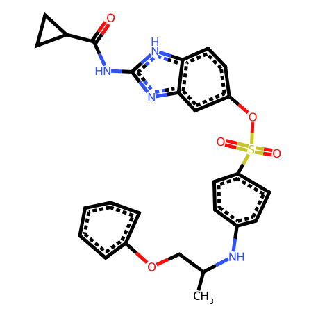 CC(COc1ccccc1)Nc1ccc(S(=O)(=O)Oc2ccc3[nH]c(NC(=O)C4CC4)nc3c2)cc1